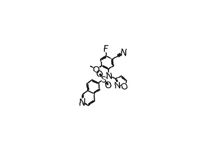 COc1cc(F)c(C#N)cc1N(c1ccon1)S(=O)(=O)c1ccc2cnccc2c1